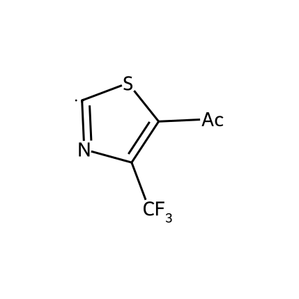 CC(=O)c1s[c]nc1C(F)(F)F